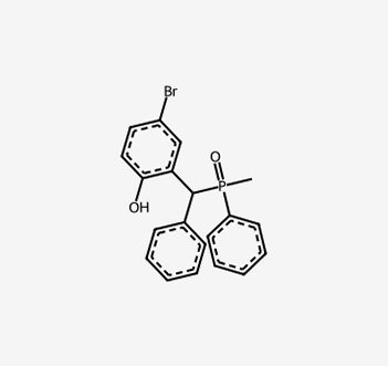 CP(=O)(c1ccccc1)C(c1ccccc1)c1cc(Br)ccc1O